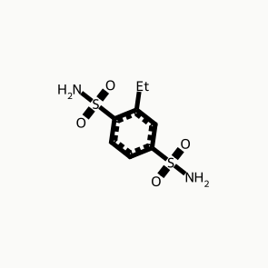 CCc1cc(S(N)(=O)=O)ccc1S(N)(=O)=O